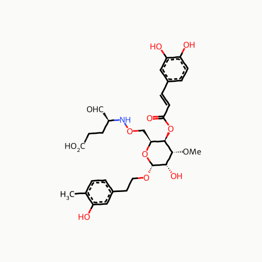 CO[C@@H]1[C@H](O)[C@H](OCCc2ccc(C)c(O)c2)O[C@@H](CON[C@H](C=O)CCC(=O)O)[C@H]1OC(=O)/C=C/c1ccc(O)c(O)c1